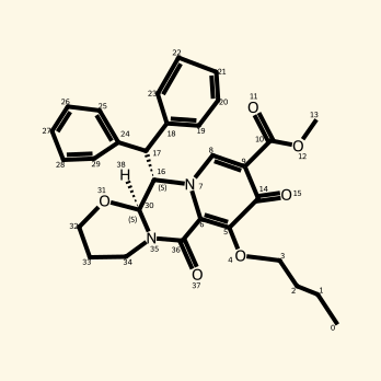 CCCCOc1c2n(cc(C(=O)OC)c1=O)[C@@H](C(c1ccccc1)c1ccccc1)[C@@H]1OCCCN1C2=O